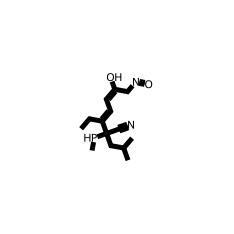 CC/C(=C\C=C(\O)CN=O)C(C#N)(CC(C)C)PC